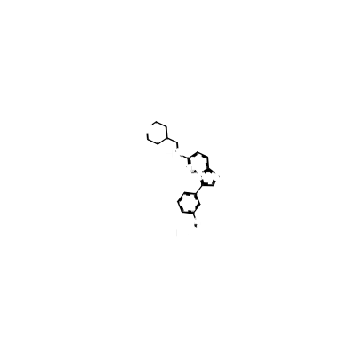 FC(F)(F)Oc1cccc(-c2cnc3ccc(NCC4CCOCC4)nn23)c1